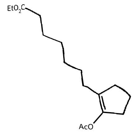 CCOC(=O)CCCCCCC1=C(OC(C)=O)CCC1